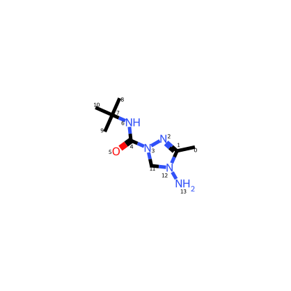 CC1=NN(C(=O)NC(C)(C)C)CN1N